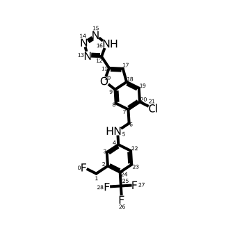 FCc1cc(NCc2cc3oc(-c4nnn[nH]4)cc3cc2Cl)ccc1C(F)(F)F